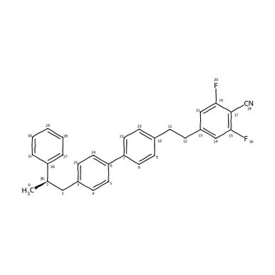 C[C@H](Cc1ccc(-c2ccc(CCc3cc(F)c(C#N)c(F)c3)cc2)cc1)c1ccccc1